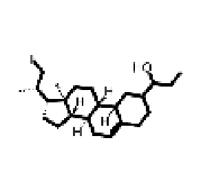 CCC(O)C1CCC2=CC[C@@H]3[C@H](CC[C@]4(C)[C@@H]([C@H](C)CI)CC[C@@H]34)[C@H]2C1